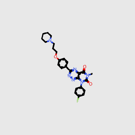 Cn1c(=O)c2nc(-c3ccc(OCCCN4CCCCC4)cc3)nnc2n(-c2ccc(F)cc2)c1=O